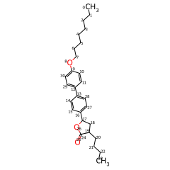 CCCCCCCCOc1ccc(-c2ccc(C3CC(CCCC)C(=O)O3)cc2)cc1